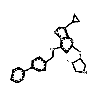 F[C@H]1CNC[C@@H]1Oc1cc(NCc2ccc(-c3ccccn3)cc2)n2ncc(C3CC3)c2n1